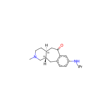 CC(C)Nc1ccc2c(c1)C(=O)C[C@@H]1CCN(C)C[C@H]1C2